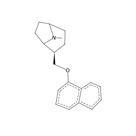 CN1C2CCC1[C@H](COc1cccc3ccccc13)CC2